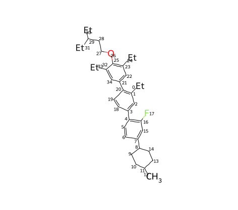 CCc1cc(-c2ccc(C3CCC(C)CC3)cc2F)ccc1-c1cc(CC)c(OCCC(CC)CC)c(CC)c1